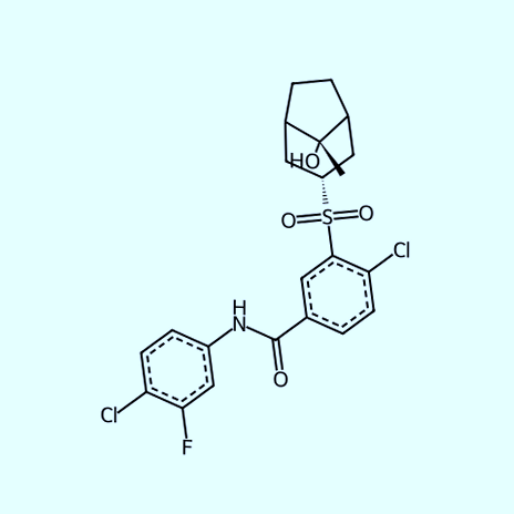 C[C@]1(O)C2CCC1C[C@@H](S(=O)(=O)c1cc(C(=O)Nc3ccc(Cl)c(F)c3)ccc1Cl)C2